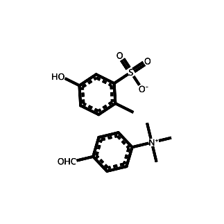 C[N+](C)(C)c1ccc(C=O)cc1.Cc1ccc(O)cc1S(=O)(=O)[O-]